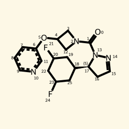 O=C(N1CC(Oc2cccnc2)C1)N1N=CC[C@H]1C1CC(F)CC(F)C1